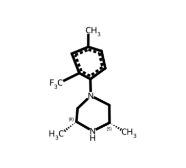 Cc1ccc(N2C[C@@H](C)N[C@@H](C)C2)c(C(F)(F)F)c1